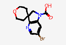 O=C(O)N1CC2(CCOCC2)c2ncc(Br)cc21